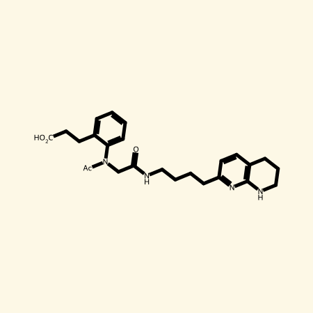 CC(=O)N(CC(=O)NCCCCc1ccc2c(n1)NCCC2)c1ccccc1CCC(=O)O